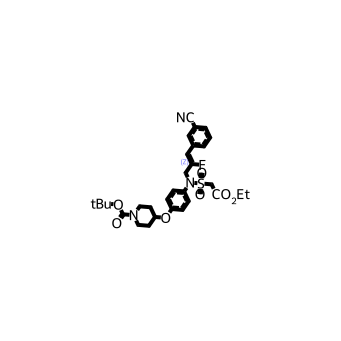 CCOC(=O)CS(=O)(=O)N(C/C(F)=C/c1cccc(C#N)c1)c1ccc(OC2CCN(C(=O)OC(C)(C)C)CC2)cc1